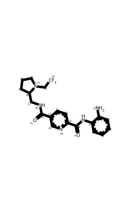 Nc1ccccc1NC(=O)c1ccc(C(=O)NCC2CCCN2CC(F)(F)F)cn1